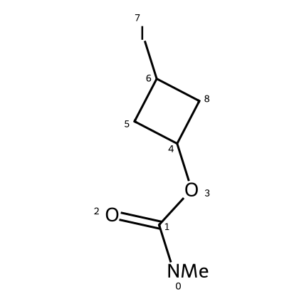 CNC(=O)OC1CC(I)C1